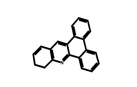 C1=Cc2cc3c4ccccc4c4ccccc4c3nc2CC1